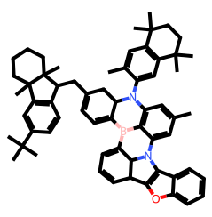 Cc1cc2c3c(c1)N1c4c(oc5ccccc45)C4C=CC=C(B3C3=CC=C(CC5c6ccc(C(C)(C)C)cc6C6(C)CCCCC56C)CC3N2c2cc3c(cc2C)C(C)(C)CCC3(C)C)C41